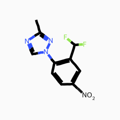 Cc1ncn(-c2ccc([N+](=O)[O-])cc2C(F)F)n1